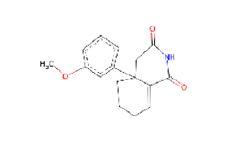 COc1cccc(C23CCCC=C2C(=O)NC(=O)C3)c1